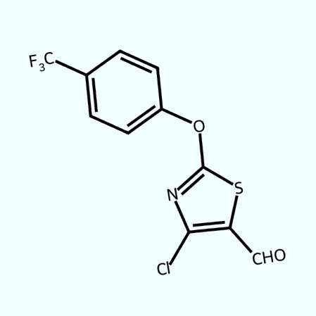 O=Cc1sc(Oc2ccc(C(F)(F)F)cc2)nc1Cl